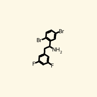 NC(Cc1cc(F)cc(F)c1)c1cc(Br)ccc1Br